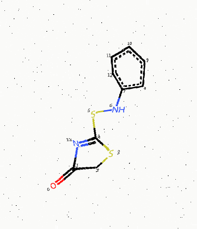 O=C1CSC(SNc2ccccc2)=N1